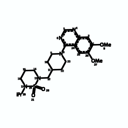 COc1cc2ncnc(N3CCC(CN4CCCN(C(C)C)S4(=O)=O)CC3)c2cc1OC